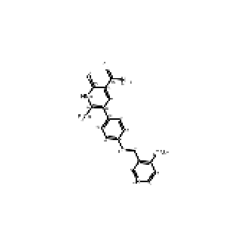 COc1ccncc1COc1ccc(-c2cc(C(N)=O)c(=O)[nH]c2C(F)(F)F)cc1